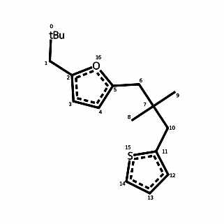 CC(C)(C)Cc1ccc(CC(C)(C)Cc2cccs2)o1